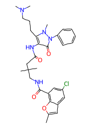 Cc1cc2cc(Cl)cc(C(=O)NCC(C)(C)CC(=O)Nc3c(CCCN(C)C)n(C)n(-c4ccccc4)c3=O)c2o1